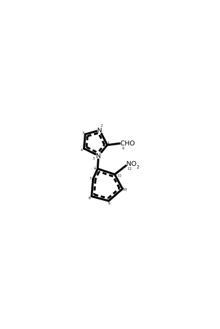 O=Cc1nccn1-c1ccccc1[N+](=O)[O-]